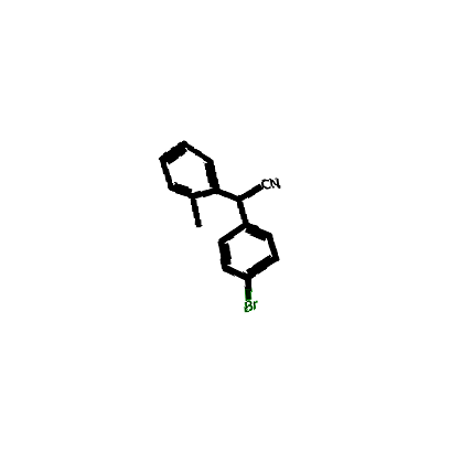 Cc1ccccc1C(C#N)c1ccc(Br)cc1